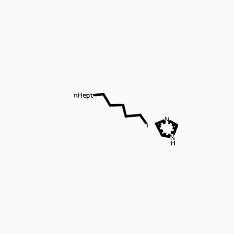 CCCCCCCCCCCCI.c1c[nH]cn1